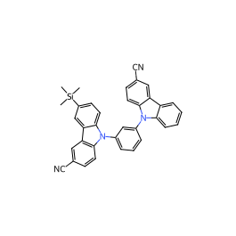 C[Si](C)(C)c1ccc2c(c1)c1cc(C#N)ccc1n2-c1cccc(-n2c3ccccc3c3cc(C#N)ccc32)c1